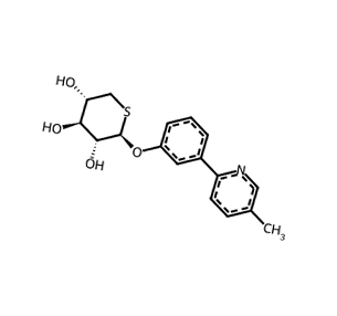 Cc1ccc(-c2cccc(O[C@@H]3SC[C@@H](O)[C@H](O)[C@H]3O)c2)nc1